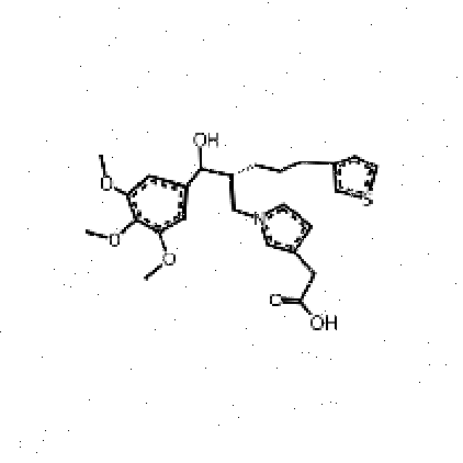 COc1cc(C(O)[C@H](CCCc2ccsc2)Cn2ccc(CC(=O)O)c2)cc(OC)c1OC